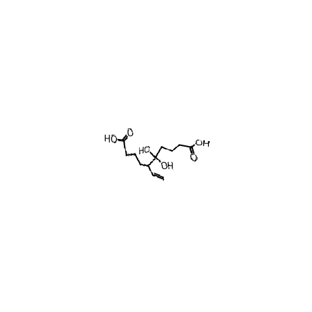 C=CC(CCCC(=O)O)C(O)(O)CCCC(=O)O